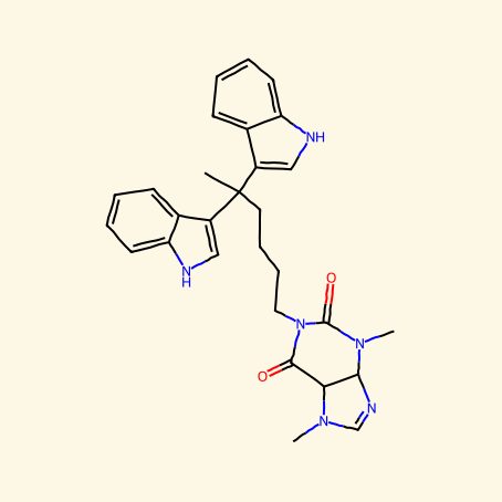 CN1C=NC2C1C(=O)N(CCCCC(C)(c1c[nH]c3ccccc13)c1c[nH]c3ccccc13)C(=O)N2C